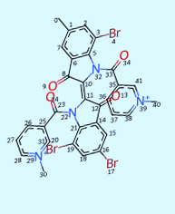 Cc1cc(Br)c2c(c1)C(=O)/C(=C1/C(=O)c3cc(Br)cc(Br)c3N1C(=O)c1ccc[n+](C)c1)N2C(=O)c1ccc[n+](C)c1